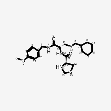 COc1ccc(CNC(=O)[C@H](CSCC2CCCCC2)NC(=O)[C@H]2CSCN2)cc1